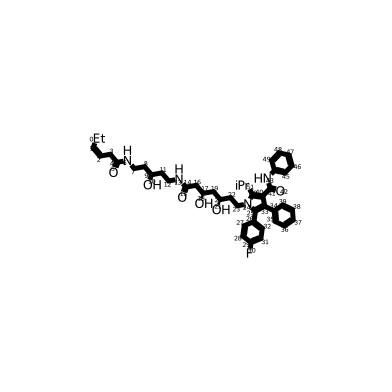 CC/C=C\CC(=O)NCCC(O)CCNC(=O)C[C@H](O)C[C@H](O)CCn1c(-c2ccc(F)cc2)c(-c2ccccc2)c(C(=O)Nc2ccccc2)c1C(C)C